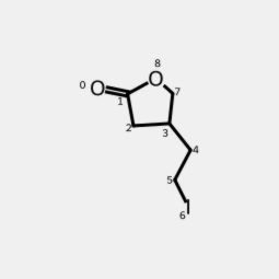 O=C1CC(CCI)CO1